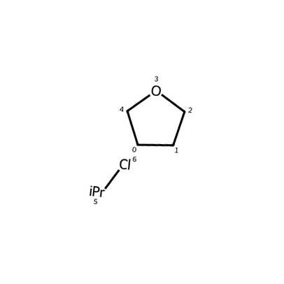 C1CCOC1.CC(C)Cl